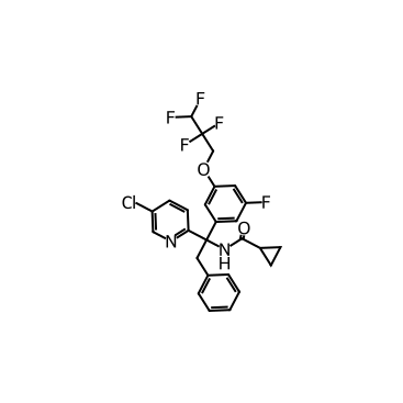 O=C(NC(Cc1ccccc1)(c1cc(F)cc(OCC(F)(F)C(F)F)c1)c1ccc(Cl)cn1)C1CC1